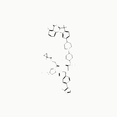 Cc1ncsc1-c1ccc([C@H](CC(=O)NC2CCC(N3CCC(c4ccc5c(c4)-n4c(nc(=O)c6c(Cl)cccc64)C5(C)C)CC3)CC2)NC(=O)[C@@H]2C[C@@H](O)CN2C(=O)[C@@H](NC(=O)C2(F)CC2)C(C)(C)C)cc1